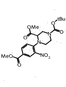 COC(=O)c1ccc(N2CCN(C(=O)OC(C)(C)C)CC2C(=O)OC)c([N+](=O)[O-])c1